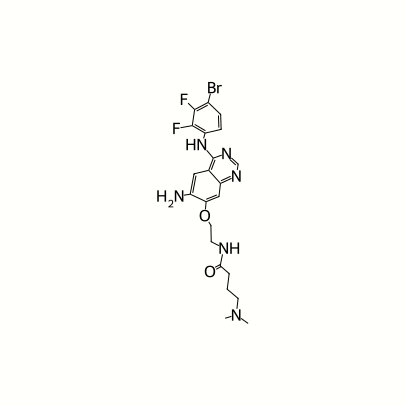 CN(C)CCCC(=O)NCCOc1cc2ncnc(Nc3ccc(Br)c(F)c3F)c2cc1N